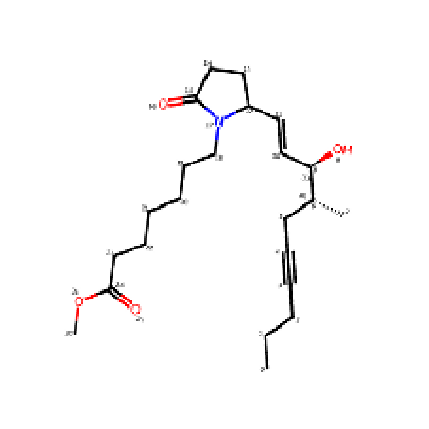 CCCC#CC[C@@H](C)[C@H](O)C=CC1CCC(=O)N1CCCCCCC(=O)OC